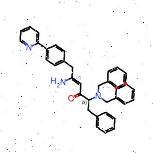 N/C(=C\C(=O)[C@H](Cc1ccccc1)N(Cc1ccccc1)Cc1ccccc1)Cc1ccc(-c2ccccn2)cc1